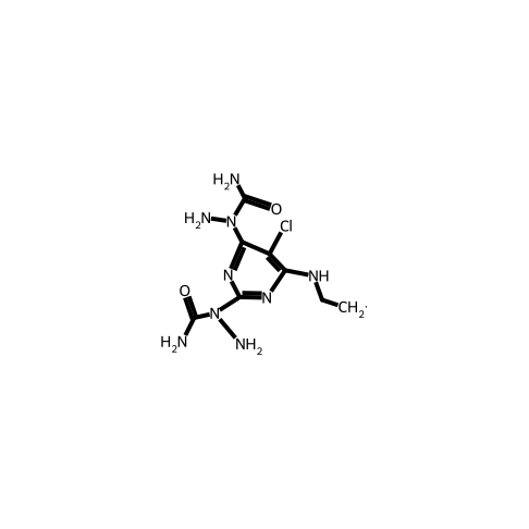 [CH2]CNc1nc(N(N)C(N)=O)nc(N(N)C(N)=O)c1Cl